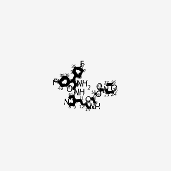 N[C@H](C(=O)Nc1cnccc1CC[C@@H]1CNC[C@@H](COC(=O)N2CCOCC2)O1)C(c1ccc(F)cc1)c1ccc(F)cc1